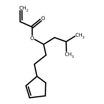 C=CC(=O)OC(CCC1C=CCC1)CC(C)C